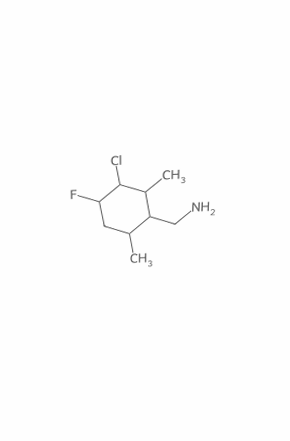 CC1CC(F)C(Cl)C(C)C1CN